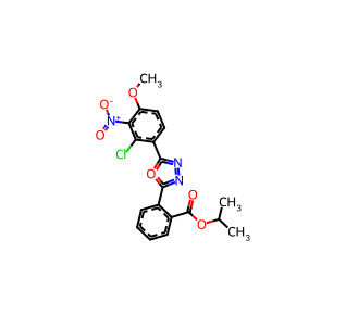 COc1ccc(-c2nnc(-c3ccccc3C(=O)OC(C)C)o2)c(Cl)c1[N+](=O)[O-]